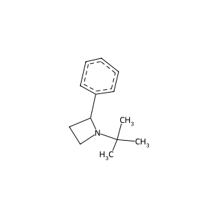 CC(C)(C)N1CCC1c1ccccc1